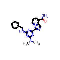 CN(C)c1nc(NCc2ccccc2)nc(-c2ncc3c(C(N)=O)cccn23)n1